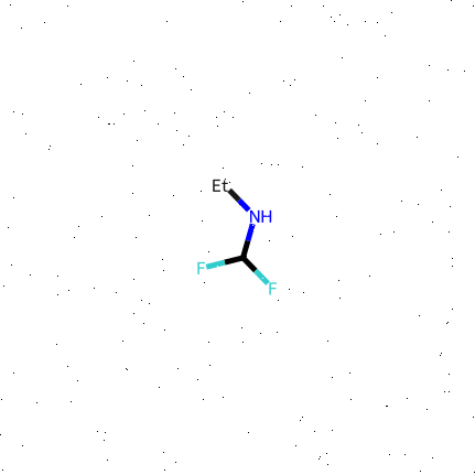 CCNC(F)F